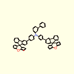 c1ccc(-c2cccc(N(c3ccc(-c4ccc5c(c4)-c4ccccc4C54c5ccccc5Oc5ccccc54)cc3)c3ccc(-c4ccc5c(c4)-c4ccccc4C54c5ccccc5Oc5ccccc54)cc3)c2)cc1